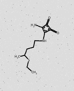 CCSC(C)CCCNc1c(N)c(=O)c1=O